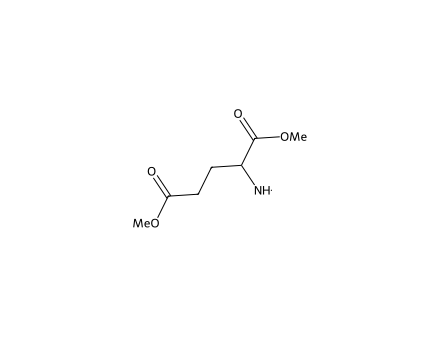 COC(=O)CCC([NH])C(=O)OC